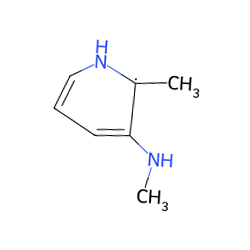 CNC1=CC=CN[C]1C